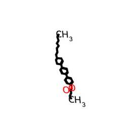 CCCCCCCCC1CC=C(c2ccc(-c3ccc(OC(=O)CCC)cc3)cc2)CC1